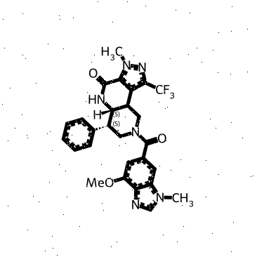 COc1cc(C(=O)N2CC3c4c(C(F)(F)F)nn(C)c4C(=O)N[C@H]3[C@@H](c3ccccc3)C2)cc2c1ncn2C